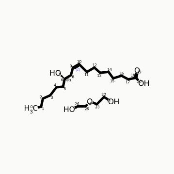 CCCCCC[C@@H](O)C/C=C\CCCCCCCC(=O)O.OCCOCCO